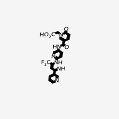 N=C(/C=C(\Nc1ccc(NC(=O)c2ccc(=O)n(CC(=O)O)c2)cn1)C(F)(F)F)c1cccnc1